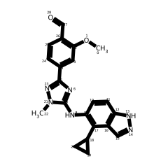 COc1cc(-c2nc(Nc3ccc4[nH]ncc4c3C3CC3)n(C)n2)ccc1C=O